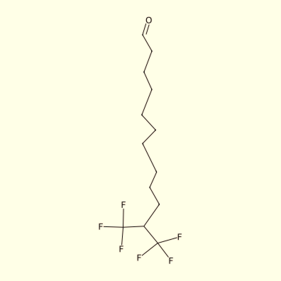 O=CCCCCCCCCCC(C(F)(F)F)C(F)(F)F